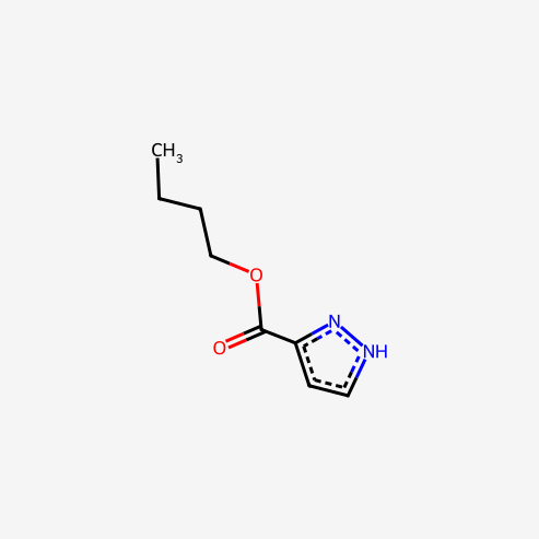 CCCCOC(=O)c1cc[nH]n1